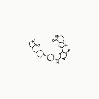 CN1CCC(CC2CCN(c3ccc(Nc4ncc(F)c(-c5cc6c(n5C)CCNC6=O)n4)nc3)CC2)C1=O